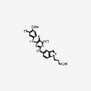 COc1ccc(Nc2nc(Nc3ccc4c(cnn4CCCO)c3)ncc2F)cc1Cl.Cl